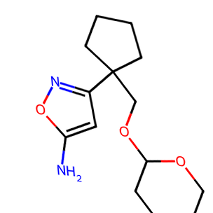 Nc1cc(C2(COC3CCCCO3)CCCC2)no1